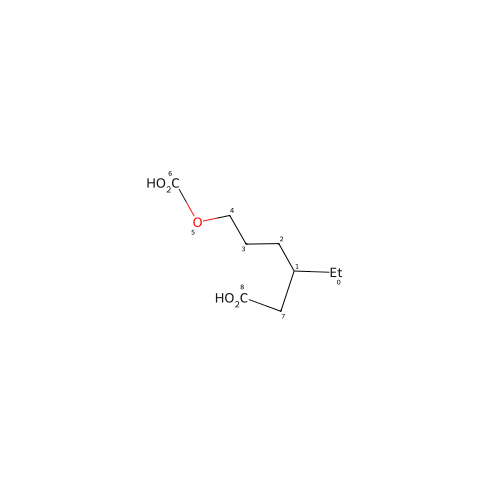 CCC(CCCOC(=O)O)CC(=O)O